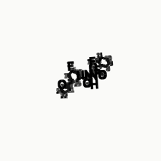 O=C(NNS(=O)(=O)c1ccccc1F)c1cc(F)cc(-c2ccco2)c1